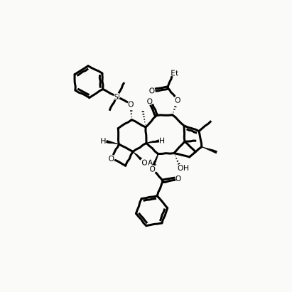 CCC(=O)O[C@H]1C(=O)[C@]2(C)[C@@H](O[Si](C)(C)c3ccccc3)C[C@H]3OC[C@@]3(OC(C)=O)[C@H]2[C@H](OC(=O)c2ccccc2)[C@]2(O)C[C@H](C)C(C)=C1C2(C)C